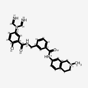 CN1CCc2ccc(NC(=O)c3cccc(CNC(=O)c4cc(N(C=N)C=N)ccc4Cl)c3)cc2C1